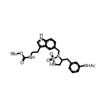 CC(=O)Nc1cccc(CC2CNS(=O)(=O)N2Cc2ccc3[nH]cc(CCNC(=O)OC(C)(C)C)c3c2)c1